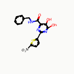 O=C(NCc1ccccc1)c1nc(-c2ccc([N+](=O)[O-])s2)nc(O)c1O